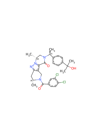 C[C@@H]1Cc2nn3c(c2CN1C(=O)c1ccc(Cl)c(Cl)c1)C(=O)N([C@@H](C)c1ccc(C(C)(C)O)cc1)C[C@H]3C